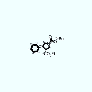 CCOC(=O)[C@H]1CN(C(=O)OC(C)(C)C)C[C@@H]1c1ccccc1